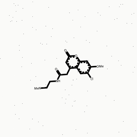 CNCCNC(=O)Cc1cc(=O)oc2cc(OC)c(Cl)cc12